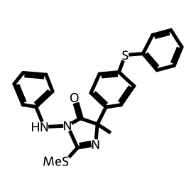 CSC1=NC(C)(c2ccc(Sc3ccccc3)cc2)C(=O)N1Nc1ccccc1